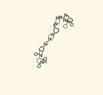 O=C1CCC(N2Cc3cc(N4CC(N5CCN(c6cccc(SN7CCC(Nc8ncc9ccc(=O)n(C%10CCCC%10)c9n8)CC7)c6)CC5)C4)ccc3C2=O)C(=O)N1